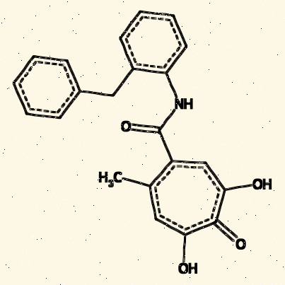 Cc1cc(O)c(=O)c(O)cc1C(=O)Nc1ccccc1Cc1ccccc1